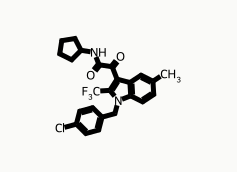 Cc1ccc2c(c1)c(C(=O)C(=O)NC1CCCC1)c(C(F)(F)F)n2Cc1ccc(Cl)cc1